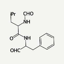 CC(C)CC(NC=O)C(=O)NC(C=O)Cc1ccccc1